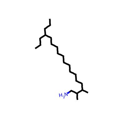 CCCC(CCC)CCCCCCCCCCCC(C)C(C)CN